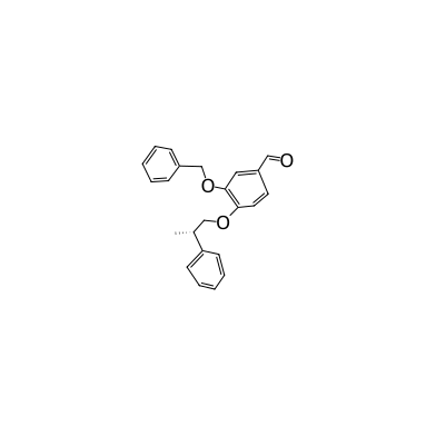 C[C@H](COc1ccc(C=O)cc1OCc1ccccc1)c1ccccc1